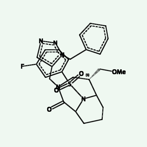 COC[C@H]1CN(Cc2cnnn2Cc2ccccc2)C(=O)C2CCCC1N2S(=O)(=O)c1cccc(F)c1